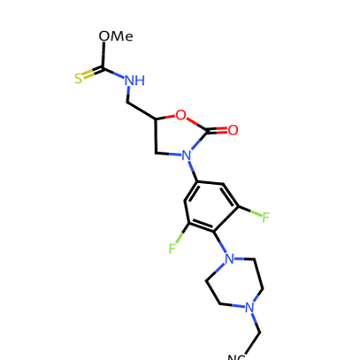 COC(=S)NCC1CN(c2cc(F)c(N3CCN(CC#N)CC3)c(F)c2)C(=O)O1